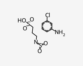 Nc1cccc(Cl)c1.O=S(=O)=NCCCS(=O)(=O)O